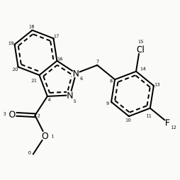 COC(=O)c1nn(Cc2ccc(F)cc2Cl)c2ccccc12